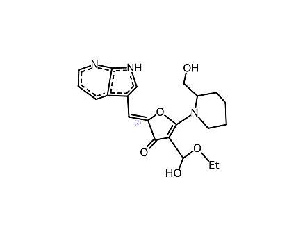 CCOC(O)C1=C(N2CCCCC2CO)O/C(=C\c2c[nH]c3ncccc23)C1=O